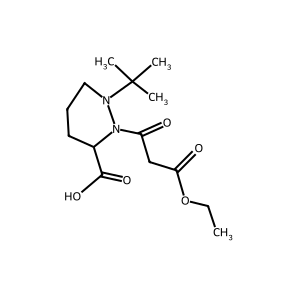 CCOC(=O)CC(=O)N1C(C(=O)O)CCCN1C(C)(C)C